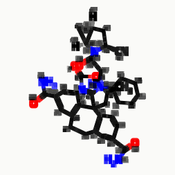 C[C@@H](CC1(c2nc(=O)on2C2CCCCC2)c2ccc(C(N)=O)cc2CCc2cc(C(N)=O)ccc21)NCC(=O)N1[C@H](C#N)C[C@@H]2C[C@@H]21